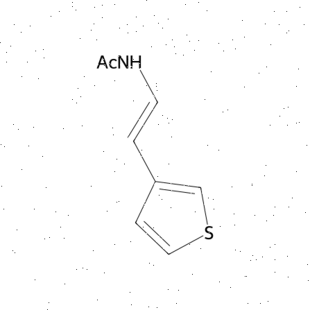 CC(=O)NC=Cc1ccsc1